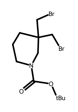 CC(C)(C)OC(=O)N1CCCC(CBr)(CBr)C1